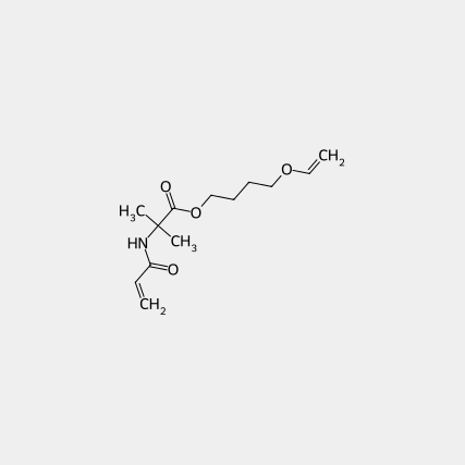 C=COCCCCOC(=O)C(C)(C)NC(=O)C=C